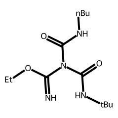 CCCCNC(=O)N(C(=N)OCC)C(=O)NC(C)(C)C